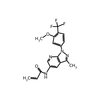 C=CC(=O)Nc1cnc2c(c1)c(C)nn2-c1ccc(C(F)(F)F)c(OC)c1